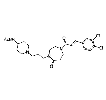 CC(=O)NC1CCN(CCCN2CCN(C(=O)C=Cc3ccc(Cl)c(Cl)c3)CCC2=O)CC1